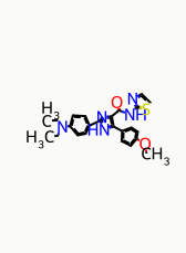 CCN(CC)c1ccc(-c2nc(C(=O)Nc3nccs3)c(-c3ccc(OC)cc3)[nH]2)cc1